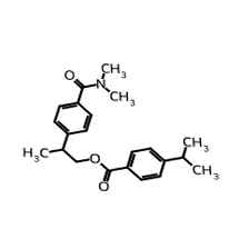 CC(C)c1ccc(C(=O)OCC(C)c2ccc(C(=O)N(C)C)cc2)cc1